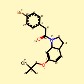 CC(C)(COC1=CC2C(C=C1)CCN2C(=O)Cc1ccc(Br)cc1)N=O